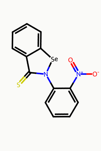 O=[N+]([O-])c1ccccc1-n1[se]c2ccccc2c1=S